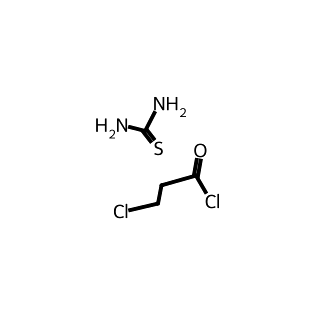 NC(N)=S.O=C(Cl)CCCl